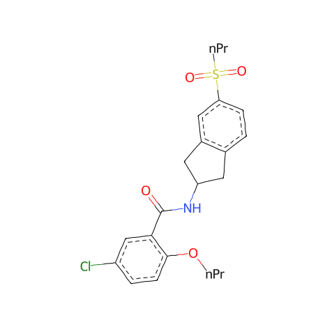 CCCOc1ccc(Cl)cc1C(=O)NC1Cc2ccc(S(=O)(=O)CCC)cc2C1